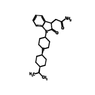 CC(C)[C@H]1CC[C@@H](N2CCC(N3C(=O)C(CC(N)=O)c4ccccc43)CC2)CC1